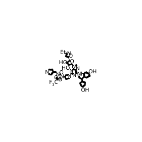 CCc1cc([C@H]2O[C@@H](n3cnc4c(NCC(c5ccc(O)cc5)c5ccc(O)cc5)nc(N5CC[C@@H](N(OC(=O)C(F)(F)F)C(=O)NCc6ccncc6)C5)nc43)[C@@H](O)[C@@H]2O)on1